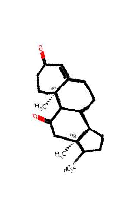 C[C@]12CC(=O)C3C(CCC4=CC(=O)CC[C@@]43C)C1CCC2C(=O)O